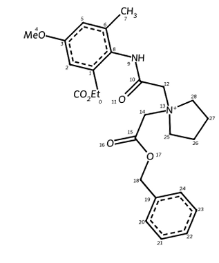 CCOC(=O)c1cc(OC)cc(C)c1NC(=O)C[N+]1(CC(=O)OCc2ccccc2)CCCC1